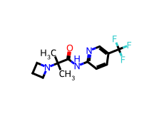 CC(C)(C(=O)Nc1ccc(C(F)(F)F)cn1)N1CCC1